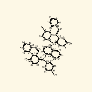 Cc1ccc(N(c2ccc(C)cc2C=Cc2ccccc2)c2ccc(N(c3ccc(C)cc3)c3ccc(C)cc3C=Cc3ccccc3)c3ccccc23)cc1